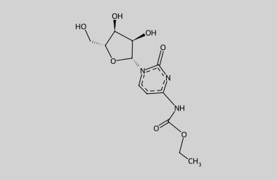 CCOC(=O)Nc1ccn([C@@H]2O[C@H](CO)[C@@H](O)[C@H]2O)c(=O)n1